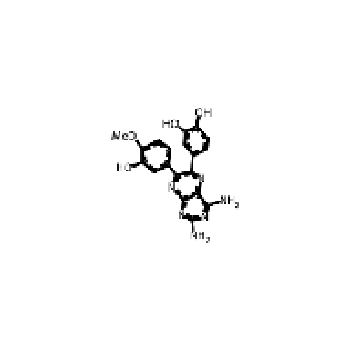 COc1ccc(-c2nc3nc(N)nc(N)c3nc2-c2ccc(O)c(O)c2)cc1O